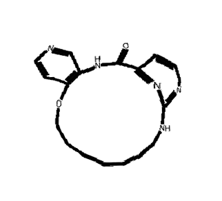 O=C1Nc2cnccc2OCCCCCCCNc2nccc1n2